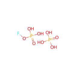 O=P(O)(O)O.O=P(O)(O)OF